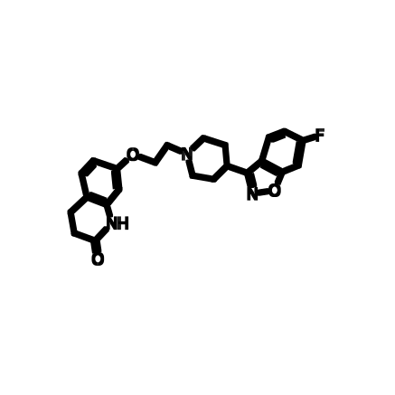 O=C1CCc2ccc(OCCN3CCC(c4noc5cc(F)ccc45)CC3)cc2N1